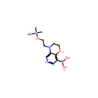 CC(C)(C)[Si](C)(C)OCCN1CCOc2c(B(O)O)cncc21